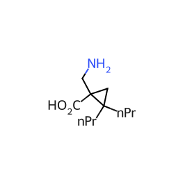 CCCC1(CCC)CC1(CN)C(=O)O